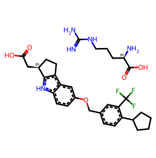 N=C(N)NCCC[C@@H](N)C(=O)O.O=C(O)C[C@H]1CCc2c1[nH]c1ccc(OCc3ccc(C4CCCC4)c(C(F)(F)F)c3)cc21